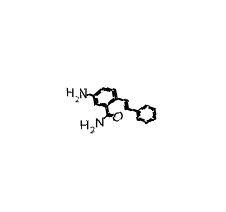 NC(=O)c1cc(N)ccc1C=Cc1ccccc1